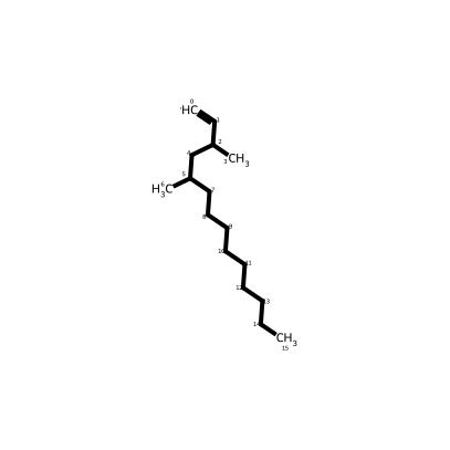 [CH]=CC(C)CC(C)CCCCCCCCC